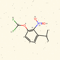 C[C](C)c1cccc(OC(F)F)c1[N+](=O)[O-]